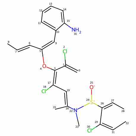 C=C(Cl)/C(OC(/C=C/C)=C/c1ccccc1N)=C(Cl)\C=C(/C)N(C)[S+]([O-])C(=C/C)/C(Cl)=C\C